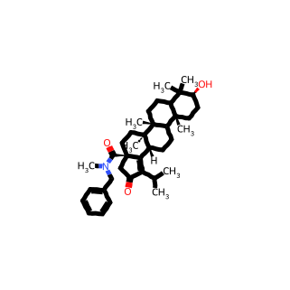 CC(C)C1=C2[C@H]3CCC4[C@@]5(C)CC[C@H](O)C(C)(C)C5CC[C@@]4(C)[C@]3(C)CC[C@@]2(C(=O)N(C)Cc2ccccc2)CC1=O